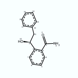 NC(=O)c1ccccc1[C@@H](O)[CH]c1ccccc1